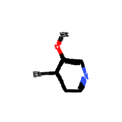 CCOC1=CN=CCC1CC